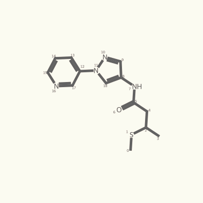 CSC(C)CC(=O)Nc1cnn(-c2cccnc2)c1